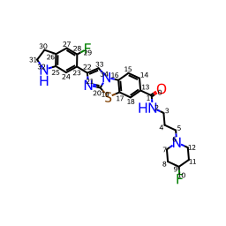 O=C(NCCCN1CCC(F)CC1)c1ccc2c(c1)sc1nc(-c3cc4c(cc3F)CCN4)cn12